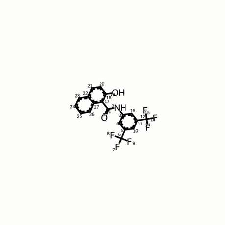 O=C(Nc1cc(C(F)(F)F)cc(C(F)(F)F)c1)c1c(O)ccc2ccccc12